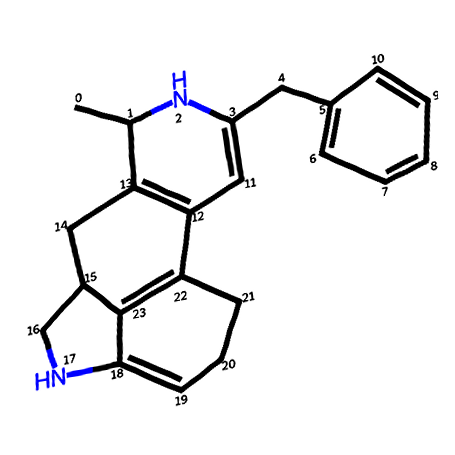 CC1NC(Cc2ccccc2)=CC2=C1CC1CNC3=CCCC2=C31